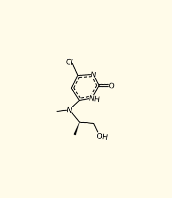 C[C@H](CO)N(C)c1cc(Cl)nc(=O)[nH]1